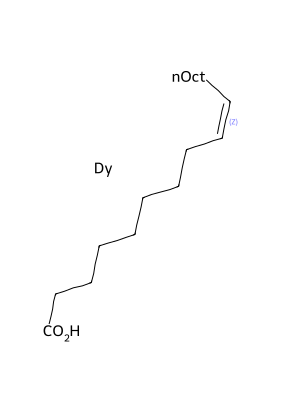 CCCCCCCC/C=C\CCCCCCCC(=O)O.[Dy]